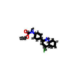 CN(C(=O)OC(C)(C)C)c1ccc(-c2cc(F)c3ccccc3n2)cc1